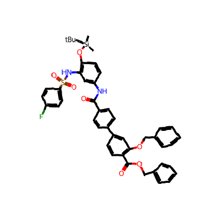 CC(C)(C)[Si](C)(C)Oc1ccc(NC(=O)c2ccc(-c3ccc(C(=O)OCc4ccccc4)c(OCc4ccccc4)c3)cc2)cc1NS(=O)(=O)c1ccc(F)cc1